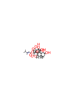 COC(=O)[C@@]12OC[C@]34[C@H]([C@@H](O)[C@@H]1O)[C@@]1(C)C(=O)[C@@H](O)C[C@@H](C)[C@@H]1C[C@H]3OC(=O)[C@H](OC(=O)/C=C(\C)C(C)C)[C@@H]24